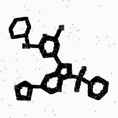 O=S(=O)(c1ccccc1)n1cc(-c2cc(Cl)nc(NC3CCCCC3)c2)c2cc(-c3ccsc3)cnc21